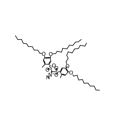 CCCCCCCCCCOc1cc(C)c(S(=O)(=O)C(=[N+]=[N-])S(=O)(=O)c2cc(OCCCCCCCCCC)c(OCCCCCCCCCC)cc2C)cc1OCCCCCCCCCC